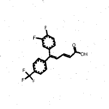 O=C(O)/C=C/C=C(/c1ccc(C(F)(F)F)cc1)c1ccc(F)c(F)c1